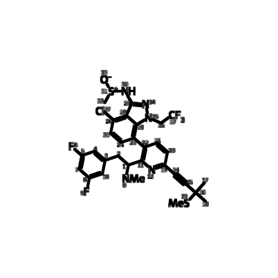 CNC(Cc1cc(F)cc(F)c1)c1nc(C#CC(C)(C)SC)ccc1-c1ccc(Cl)c2c(N[S+](C)[O-])nn(CC(F)(F)F)c12